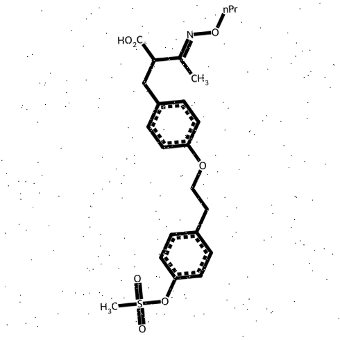 CCCO/N=C(\C)C(Cc1ccc(OCCc2ccc(OS(C)(=O)=O)cc2)cc1)C(=O)O